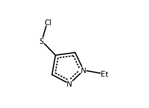 CCn1cc(SCl)cn1